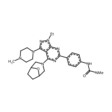 CCn1nc(N2CCN(C)CC2)c2c(N3CC4CCC(C3)O4)nc(-c3ccc(NC(=O)NC)cc3)nc21